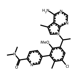 COc1c(C(C)n2cc(C)c3c(N)ncnc32)cc(Cl)c(C)c1-c1ccc(C(=O)N(C)C)nc1